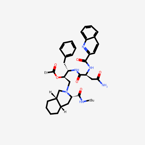 CCC(=O)O[C@H](CN1C[C@H]2CCCC[C@H]2C[C@H]1C(=O)NC(C)(C)C)[C@H](Cc1ccccc1)NC(=O)[C@H](CC(N)=O)NC(=O)c1ccc2ccccc2n1